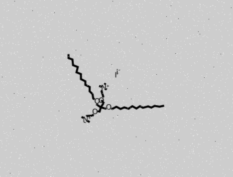 CCCCCCCCCCCCCCOCC(COCCCCCCCCCCCCCC)(COCC[N+](C)(C)C)COCC[N+](C)(C)C.[I-].[I-]